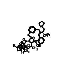 CC(C)C[C@@H](CN1CCCC1)N(Cc1cccc(CN2O[C@@H](CO)[C@@H]([C@H](C)O)[C@H]2C(=O)N[C@H]2C[C@H]3C[C@@H]([C@@H]2C)C3(C)C)c1)Cc1c(O)cccc1F